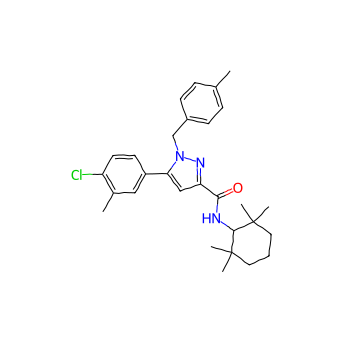 Cc1ccc(Cn2nc(C(=O)NC3C(C)(C)CCCC3(C)C)cc2-c2ccc(Cl)c(C)c2)cc1